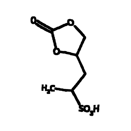 CC(CC1COC(=O)O1)S(=O)(=O)O